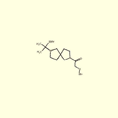 CSC(C)(C)N1CCC2(CCN(C(=O)COC(C)(C)C)C2)C1